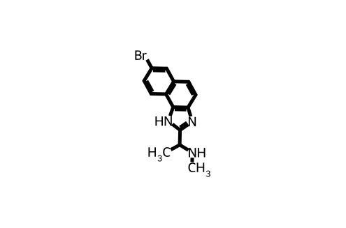 CNC(C)c1nc2ccc3cc(Br)ccc3c2[nH]1